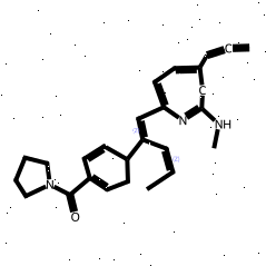 C=C=CC1=CC=C(/C=C(\C=C/C)C2C=CC(C(=O)N3CCCC3)=CC2)N=C(NC)C1